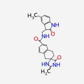 C=C1NC(=O)C2(CCc3cc(C(=O)NCC4C(=O)Nc5ccc(C)cc54)ccc3C2)N1